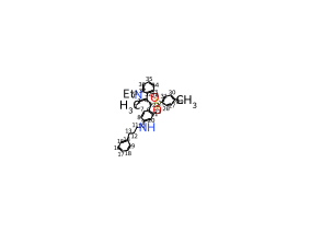 CCn1c(C)c(C(c2ccc(NCCCc3ccccc3)cc2)S(=O)(=O)c2ccc(C)cc2)c2ccccc21